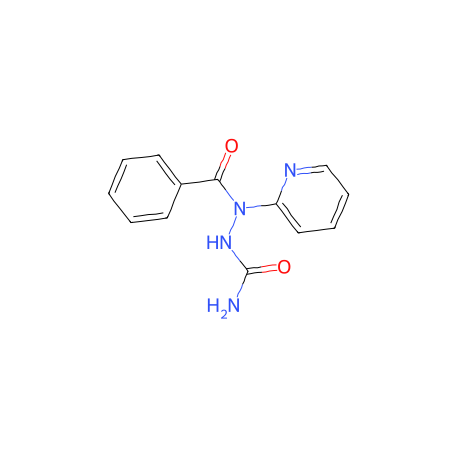 NC(=O)NN(C(=O)c1ccccc1)c1ccccn1